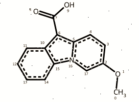 COc1ccc2c(C(=O)O)c3ccccc3n2c1